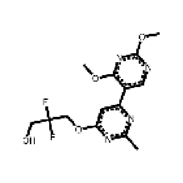 COc1ncc(-c2cc(OCC(F)(F)CO)nc(C)n2)c(OC)n1